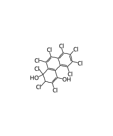 OC1=C(Cl)C(Cl)C(O)(Cl)c2c(Cl)c(Cl)c3c(Cl)c(Cl)c(Cl)c(Cl)c3c21